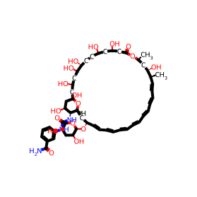 C[C@H]1C[C@H](O)[C@@H](C)/C=C/C=C/C=C/C=C/C=C/C=C/C=C/[C@H](O[C@@H]2OC[C@@H](O)C[C@@H]2O)C[C@@H]2O[C@](O)(C[C@@H](O)C[C@@H](O)[C@H](O)CC[C@@H](O)C[C@@H](O)CC(=O)O1)C[C@H](O)[C@H]2NC(=O)Nc1cccc(C(N)=O)c1